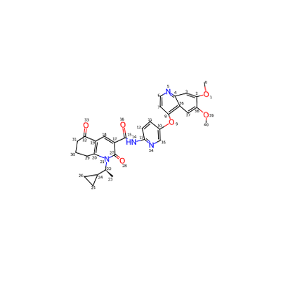 COc1cc2nccc(Oc3ccc(NC(=O)c4cc5c(n([C@@H](C)C6CC6)c4=O)CCCC5=O)nc3)c2cc1OC